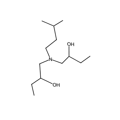 CCC(O)CN(CCC(C)C)CC(O)CC